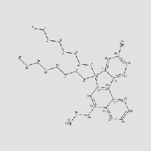 CCCCCCCCC1(CCCCCCCC)c2cc(Br)ccc2-c2c1cc(CCS)c1ccccc21